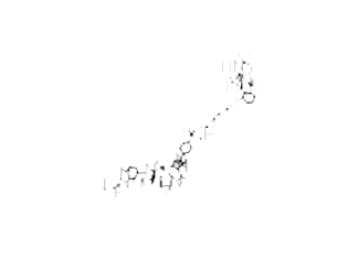 NC(=O)c1nn(-c2ccc(C(=O)NCCOCCOCCCc3cccc4c3C(O)N(C3CCC(=O)NC3=O)C4=O)cc2)cc1NC(=O)c1coc(-c2ccnc(NCC(F)(F)F)c2)n1